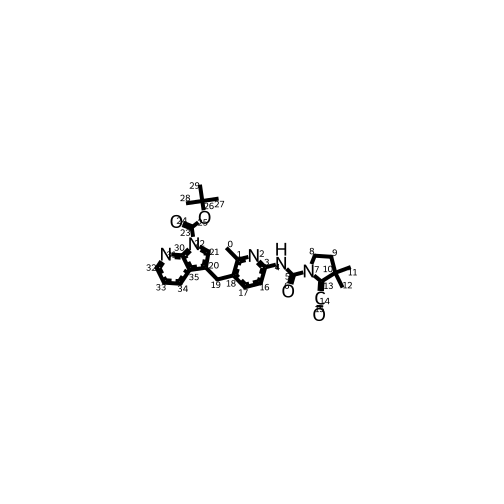 Cc1nc(NC(=O)N2CCC(C)(C)C2=C=O)ccc1Cc1cn(C(=O)OC(C)(C)C)c2ncccc12